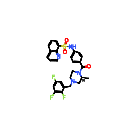 C[C@H]1CN(Cc2cc(F)cc(F)c2F)CCN1C(=O)c1ccc(NS(=O)(=O)c2cccc3cccnc23)cc1